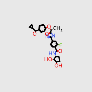 C[C@@H](Oc1ccc(C(=O)C2CC2)cc1)c1nc(-c2ccc(C(=O)N[C@@H]3CC[C@H](O)[C@@H]3O)c(F)c2)no1